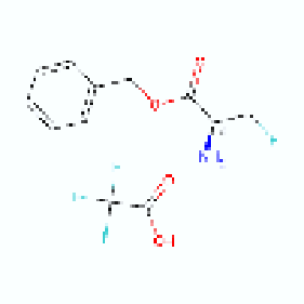 N[C@H](CF)C(=O)OCc1ccccc1.O=C(O)C(F)(F)F